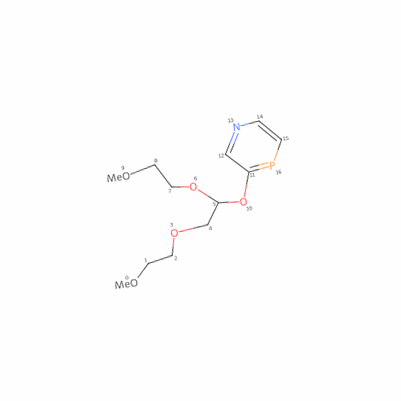 COCCOCC(OCCOC)Oc1cnccp1